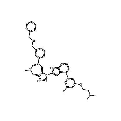 C[C@H]1C=C(c2cncc(CNCc3ccccc3)c2)C=c2c(-c3cc4c(-c5cc(F)cc(OCCN(C)C)c5)nccc4[nH]3)n[nH]c2=C1